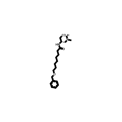 CN(C)C[C@@H](CC(=O)O)NC(=O)CCCCCCCOCc1ccccc1